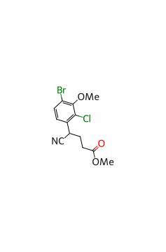 COC(=O)CCC(C#N)c1ccc(Br)c(OC)c1Cl